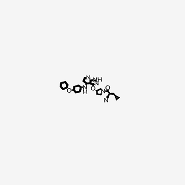 N#C/C(=C\C1CC1)C(=O)N1CC[C@@H](Oc2n[nH]c3nccc(Nc4ccc(Oc5ccccc5)cc4)c23)C1